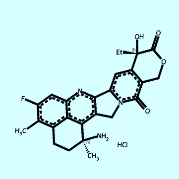 CC[C@@]1(O)C(=O)OCc2c1cc1n(c2=O)Cc2c-1nc1cc(F)c(C)c3c1c2[C@@](C)(N)CC3.Cl